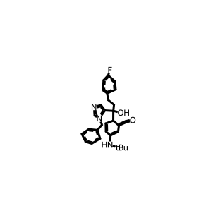 CC(C)(C)NC1=CC(=C=O)C(C(O)(CCc2ccc(F)cc2)c2cncn2Cc2ccccc2)C=C1